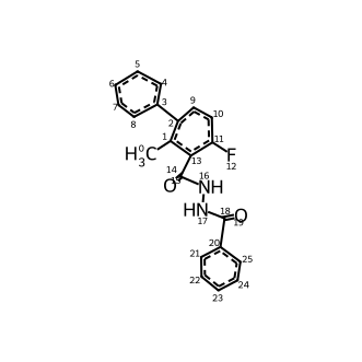 Cc1c(-c2ccccc2)ccc(F)c1C(=O)NNC(=O)c1ccccc1